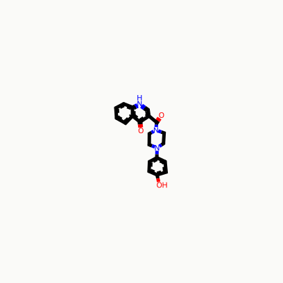 O=C(c1c[nH]c2ccccc2c1=O)N1CCN(c2ccc(O)cc2)CC1